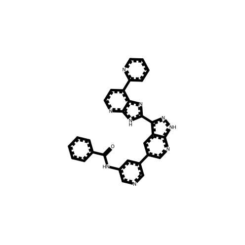 O=C(Nc1cncc(-c2cnc3[nH]nc(-c4nc5c(-c6ccccn6)ccnc5[nH]4)c3c2)c1)c1ccccc1